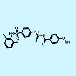 CCCOc1ccc(C(=O)NC(=S)Nc2ccc(S(=O)(=O)Nc3c(C)cccc3C)cc2)cc1